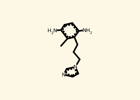 Cc1c(N)ccc(N)c1CCCn1ccnc1